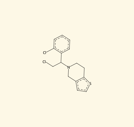 ClCC(c1ccccc1Cl)N1CCc2sccc2C1